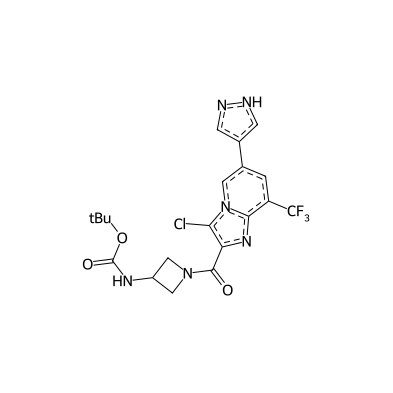 CC(C)(C)OC(=O)NC1CN(C(=O)c2nc3c(C(F)(F)F)cc(-c4cn[nH]c4)cn3c2Cl)C1